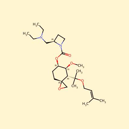 CCN(CC)C[C@H]1CCN1C(=O)O[C@@H]1CC[C@]2(CO2)[C@@H](C(C)(C)OCC=C(C)C)[C@@H]1OC